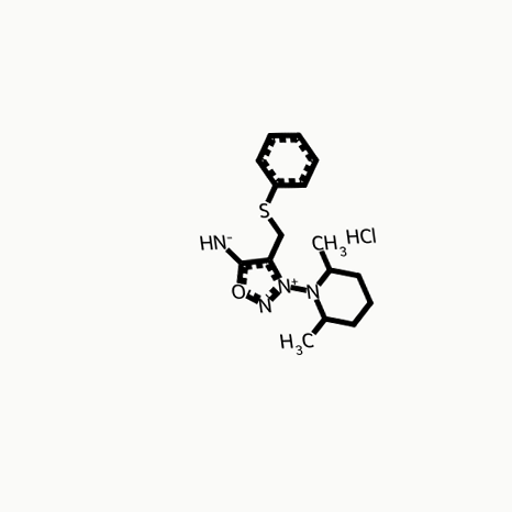 CC1CCCC(C)N1[n+]1noc([NH-])c1CSc1ccccc1.Cl